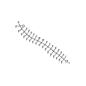 FC(F)(F)C(F)(F)C(F)(F)C(F)(F)C(F)(F)C(F)(F)C(F)(F)C(F)(F)C(F)(F)C(F)(F)C(F)(F)C(F)(F)C(F)(F)C(F)(F)C(F)(F)C(F)(F)C1(F)OC1(F)F